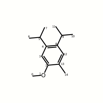 COc1cc(C(C)C)c(C(C)C)cc1C